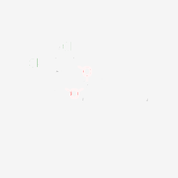 ClCC1(CCl)COC2(CCCCCCCCCCC2)OC1